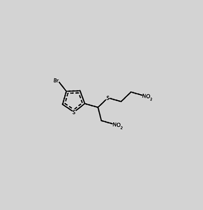 O=[N+]([O-])CCSC(C[N+](=O)[O-])c1cc(Br)cs1